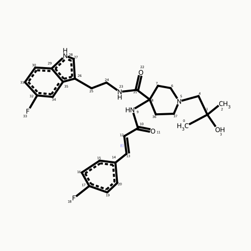 CC(C)(O)CN1CCC(NC(=O)/C=C/c2ccc(F)cc2)(C(=O)NCCc2c[nH]c3ccc(F)cc23)CC1